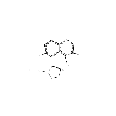 Nc1cnc2ccc(Br)cc2c1N[C@@H]1CCN(C(=O)O)C1